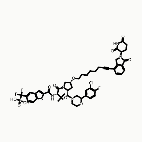 CC(C)(C)[C@H](NC(=O)c1cc2cc(C(F)(F)P(=O)(O)O)ccc2s1)C(=O)N1C[C@@H](OCCCCCCC#Cc2cccc3c2CN(C2CCC(=O)NC2=O)C3=O)C[C@H]1C(=O)N1CCOC(c2ccc(F)c(Cl)c2)C1